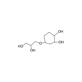 OCC(O)COC1CCC(O)C(O)C1